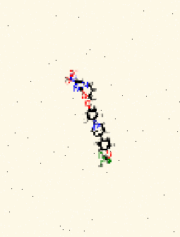 O=[N+]([O-])c1cn2c(n1)OC(COc1ccc(N3CCC(c4ccc(OC(F)(F)F)cc4)CC3)cc1)CC2